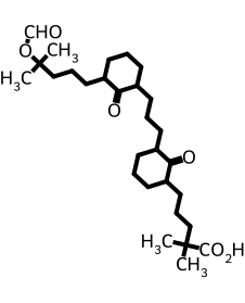 CC(C)(CCCC1CCCC(CCCC2CCCC(CCCC(C)(C)C(=O)O)C2=O)C1=O)OC=O